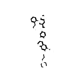 COc1cc2c(Oc3ccc(NC(=O)c4cc5ncsc5n(-c5ccccc5CCO)c4=O)cc3F)ccnc2cc1OCCCN1CCOCC1